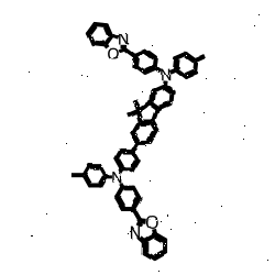 Cc1ccc(N(c2ccc(-c3ccc4c(c3)C(C)(C)c3cc(N(c5ccc(C)cc5)c5ccc(-c6nc7ccccc7o6)cc5)ccc3-4)cc2)c2ccc(-c3nc4ccccc4o3)cc2)cc1